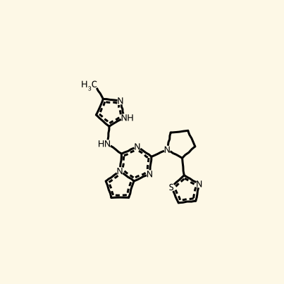 Cc1cc(Nc2nc(N3CCCC3c3nccs3)nc3cccn23)[nH]n1